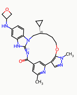 Cc1cc2cc(n1)-c1cnn(C)c1OCCC[C@@H](C1CC1)CN1/C(=N/C2=O)Nc2cc(NC3COC3)ccc21